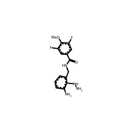 COc1c(F)cc(C(=O)NCc2cccc(N)c2NN)cc1F